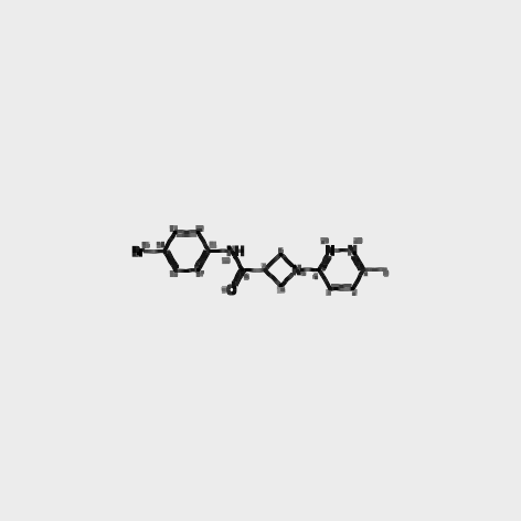 Cc1ccc(N2CC(C(=O)Nc3ccc(Br)cc3)C2)nn1